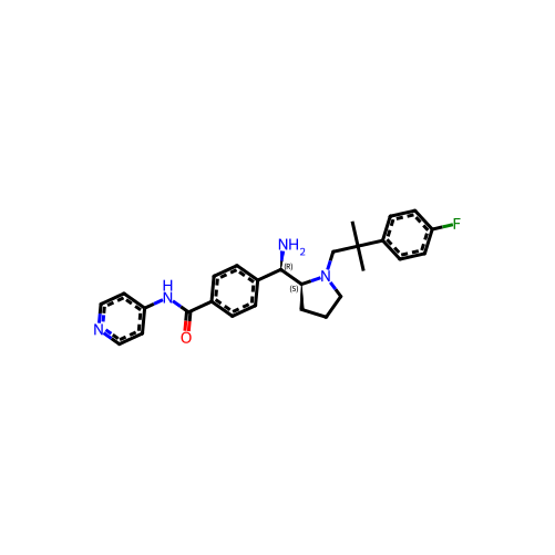 CC(C)(CN1CCC[C@H]1[C@H](N)c1ccc(C(=O)Nc2ccncc2)cc1)c1ccc(F)cc1